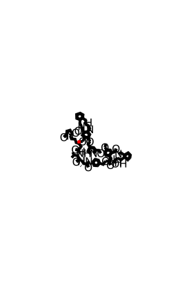 COc1cc2c(cc1OCc1ccnc(COc3cc4c(cc3OC)C(=O)N3Cc5ccccc5C[C@H]3C(O)N4C(=O)OCc3ccc(NC(=O)[C@H](C)NC(=O)[C@@H](NC(=O)CCCCCN4C(=O)C=CC4=O)C(C)C)cc3)c1)N=C[C@@H]1Cc3ccccc3CN1C2=O